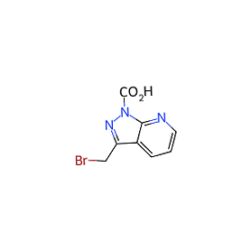 O=C(O)n1nc(CBr)c2cccnc21